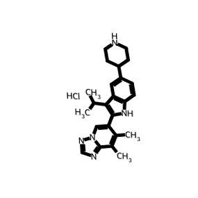 Cc1c(-c2[nH]c3ccc(C4CCNCC4)cc3c2C(C)C)cn2ncnc2c1C.Cl